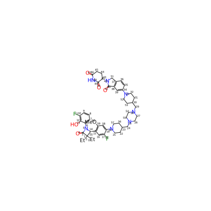 CCC1(CC)C(=O)N(c2cccc(F)c2O)[C@H]1c1cc(F)c(N2CCC(CN3CCN(CC4CCN(c5ccc6c(c5)C(=O)N([C@H]5CCC(=O)NC5=O)C6)CC4)CC3)CC2)cc1OC